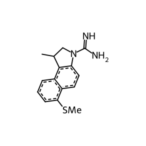 CSc1cccc2c3c(ccc12)N(C(=N)N)CC3C